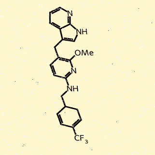 COc1nc(NCC2C=CC(C(F)(F)F)=CC2)ccc1Cc1c[nH]c2ncccc12